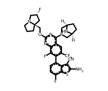 N#Cc1c(N)sc2c(F)ccc(-c3c(C(F)(F)F)cc4c(N5C[C@H]6CC[C@@H](C5)N6)nc(OC[C@@]56CCCN5C[C@H](F)C6)nc4c3F)c12